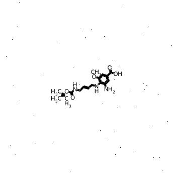 COc1cc(C(=O)O)cc(N)c1NC/C=C/CNC(=O)OC(C)(C)C